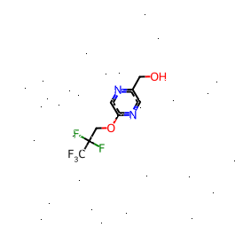 OCc1cnc(OCC(F)(F)C(F)(F)F)cn1